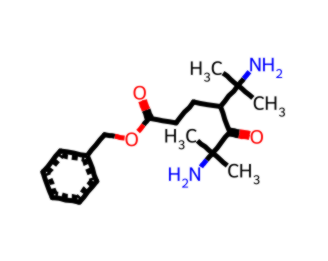 CC(C)(N)C(=O)C(CCC(=O)OCc1ccccc1)C(C)(C)N